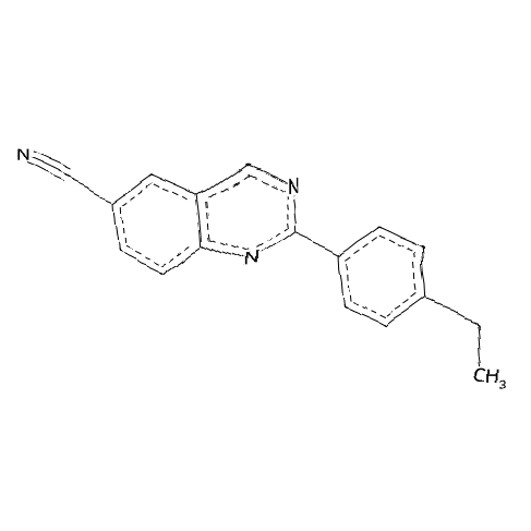 CCc1ccc(-c2ncc3cc(C#N)ccc3n2)cc1